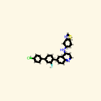 Fc1cc(-c2ccc(Cl)cc2)ccc1-c1ccc2nccc(Nc3ccc4scnc4c3)c2c1